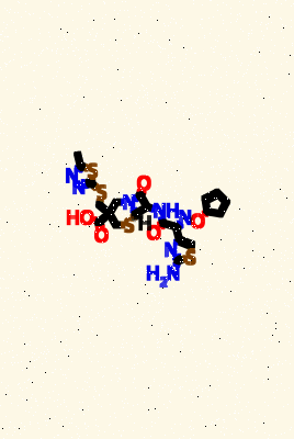 Cc1nnc(SCC2(C(=O)O)CS[C@@H]3C(NC(=O)C(=NOC4C=CCC4)c4csc(N)n4)C(=O)N3C2)s1